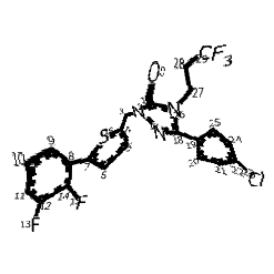 O=c1n(Cc2ccc(-c3cccc(F)c3F)s2)nc(-c2ccc(Cl)cc2)n1CCC(F)(F)F